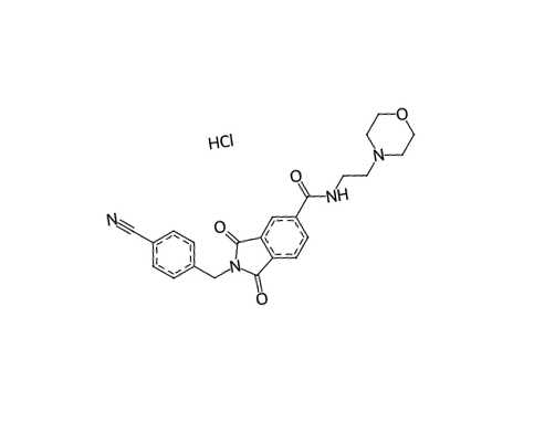 Cl.N#Cc1ccc(CN2C(=O)c3ccc(C(=O)NCCN4CCOCC4)cc3C2=O)cc1